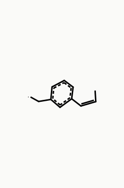 [CH2]Cc1cccc(/C=C\C)c1